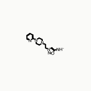 [NH-]c1c[n+](CCN2CCN(c3ccccn3)CC2)no1